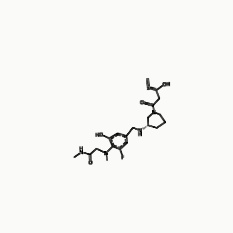 C=S=C(O)CC(=O)N1CCC[C@H](NCc2cc(O)c(N(C)CC(=O)NC)c(F)c2)C1